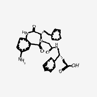 Nc1ccc2c(c1)C(=O)N(CC(=O)N[C@H](CC(=O)O)c1ccccc1)[C@@H](Cc1ccccc1)C(=O)N2